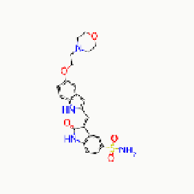 NS(=O)(=O)c1ccc2c(c1)C(=Cc1cc3cc(OCCN4CCOCC4)ccc3[nH]1)C(=O)N2